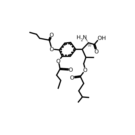 CCCC(=O)Oc1ccc(C(C(C)COC(=O)CCC(C)C)[C@H](N)C(=O)O)cc1OC(=O)CCC